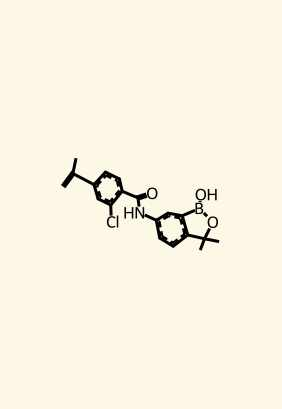 C=C(C)c1ccc(C(=O)Nc2ccc3c(c2)B(O)OC3(C)C)c(Cl)c1